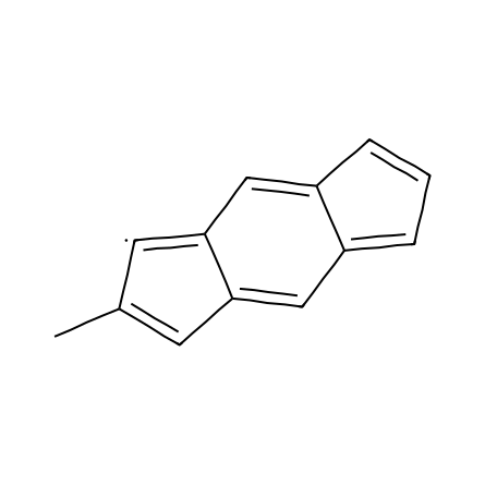 CC1=Cc2cc3c(cc2=[C]1)C=CC=3